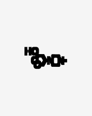 CN1CCN(C(C=O)CC(=O)O)CC1